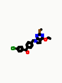 CCOc1nc(SC)nc2c1ccn2Cc1ccc(C(=O)c2ccc(Cl)cc2)cc1